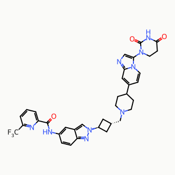 O=C1CCN(c2cnc3cc(C4CCN(C[C@H]5C[C@H](n6cc7cc(NC(=O)c8cccc(C(F)(F)F)n8)ccc7n6)C5)CC4)ccn23)C(=O)N1